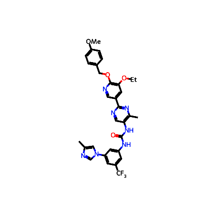 CCOc1cc(-c2ncc(NC(=O)Nc3cc(-n4cnc(C)c4)cc(C(F)(F)F)c3)c(C)n2)cnc1OCc1ccc(OC)cc1